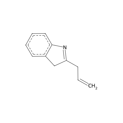 C=CCC1=Nc2ccccc2C1